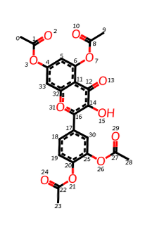 CC(=O)Oc1cc(OC(C)=O)c2c(=O)c(O)c(-c3ccc(OC(C)=O)c(OC(C)=O)c3)oc2c1